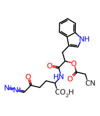 N#CCC(=O)OC(Cc1c[nH]c2ccccc12)C(=O)NC(CCC(=O)C=[N+]=[N-])C(=O)O